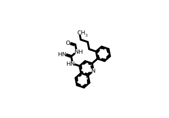 CCCCc1ccccc1-c1cc(NC(=N)NC=O)c2ccccc2n1